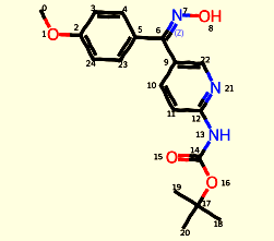 COc1ccc(/C(=N/O)c2ccc(NC(=O)OC(C)(C)C)nc2)cc1